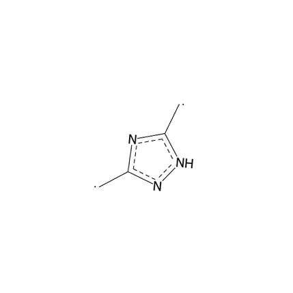 [CH2]c1n[nH]c([CH2])n1